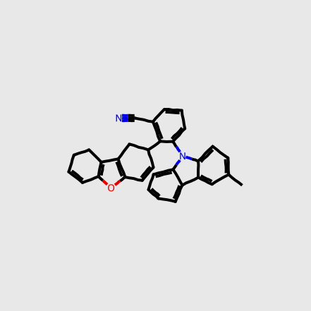 Cc1ccc2c(c1)c1ccccc1n2-c1cccc(C#N)c1C1C=Cc2oc3c(c2C1)CCC=C3